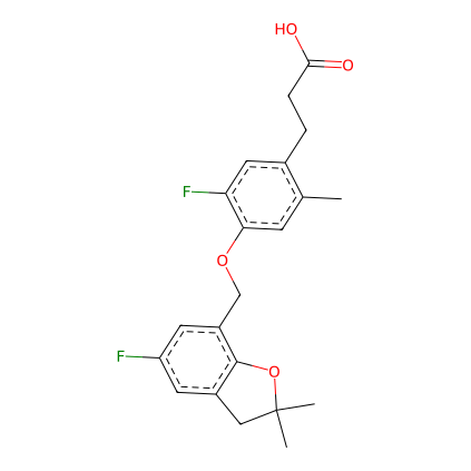 Cc1cc(OCc2cc(F)cc3c2OC(C)(C)C3)c(F)cc1CCC(=O)O